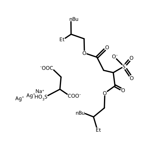 CCCCC(CC)COC(=O)CC(C(=O)OCC(CC)CCCC)S(=O)(=O)[O-].O=C([O-])CC(C(=O)[O-])S(=O)(=O)O.[Ag+].[Ag+].[Na+]